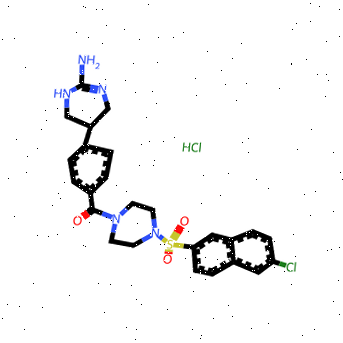 Cl.NC1=NCC(c2ccc(C(=O)N3CCN(S(=O)(=O)c4ccc5cc(Cl)ccc5c4)CC3)cc2)CN1